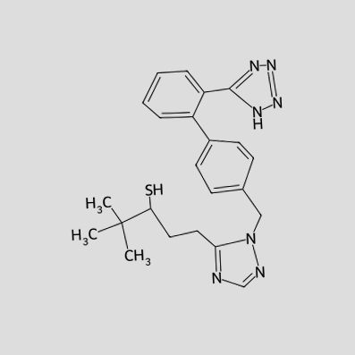 CC(C)(C)C(S)CCc1ncnn1Cc1ccc(-c2ccccc2-c2nnn[nH]2)cc1